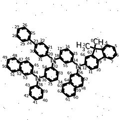 CC1(C)c2ccccc2-c2ccc(N(c3cccc(N(c4ccc(-c5ccccc5)cc4)c4cccc(N(c5ccccc5)c5ccc6ccccc6c5)c4)c3)c3ccc4ccccc4c3)cc21